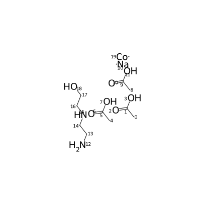 CC(=O)O.CC(=O)O.CC(=O)O.NCCNCCO.[Co].[Na]